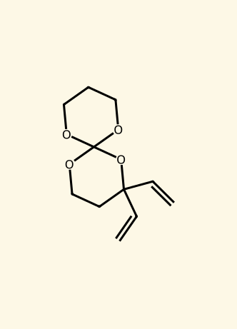 C=CC1(C=C)CCOC2(OCCCO2)O1